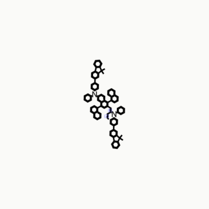 C/C=C\C(=C/c1cc(-c2cccc3ccccc23)c2cc(N(c3ccccc3)c3ccc(-c4ccc5c(c4)C(C)(C)c4ccccc4-5)cc3)ccc2c1-c1cccc2ccccc12)N(c1ccccc1)c1ccc(-c2ccc3c(c2)C(C)(C)c2ccccc2-3)cc1